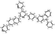 c1ccc(-n2c3ccncc3c3cc(-c4ccc(-c5cc(-c6ccccn6)cc(-c6ccc7cc(-c8ccncc8)ccc7c6)n5)cc4)ccc32)cc1